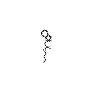 CCCCOC(=O)Cn1ncc2ccccc21